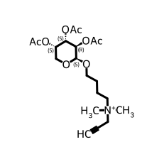 C#CC[N+](C)(C)CCCCO[C@H]1OC[C@H](OC(C)=O)[C@H](OC(C)=O)[C@H]1OC(C)=O